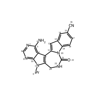 CC(C)n1c2c(c3c(N)ncnc31)-c1cc3cc(C#N)ccc3n1C(=O)NC2